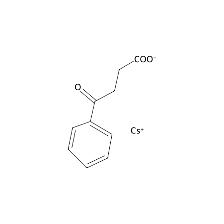 O=C([O-])CCC(=O)c1ccccc1.[Cs+]